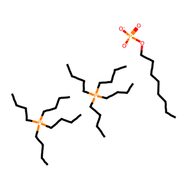 CCCCCCCCOP(=O)([O-])[O-].CCCC[P+](CCCC)(CCCC)CCCC.CCCC[P+](CCCC)(CCCC)CCCC